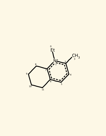 CC[n+]1c(C)ccc2c1CCCC2